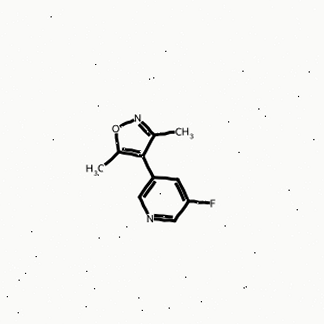 Cc1noc(C)c1-c1cncc(F)c1